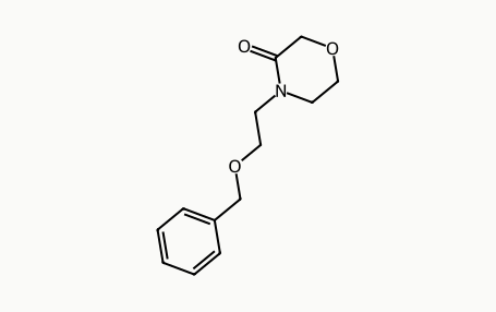 O=C1COCCN1CCOCc1ccccc1